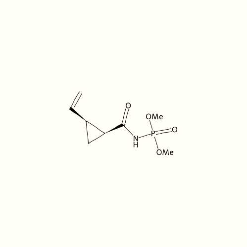 C=C[C@@H]1C[C@@H]1C(=O)NP(=O)(OC)OC